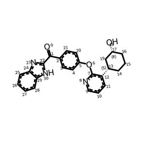 O=C(c1ccc(Oc2ncccc2[C@H]2CCC[C@@H](O)C2)cc1)c1nc2ccccc2[nH]1